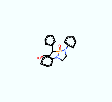 O=P1(C(CCO)c2ccccc2)N(c2ccccc2)CCN1c1ccccc1